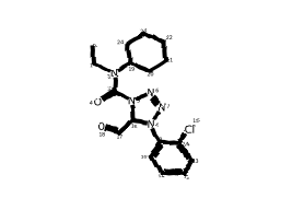 CCN(C(=O)N1N=NN(c2ccccc2Cl)C1C=O)C1CCCCC1